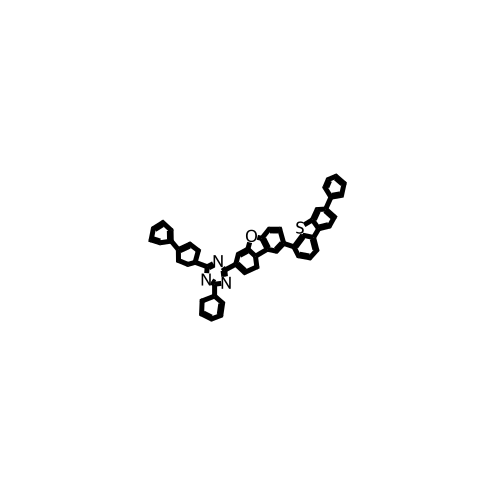 C1=CCC(c2nc(C3=CCC4C(=C3)Oc3ccc(-c5cccc6c5sc5cc(-c7ccccc7)ccc56)cc34)nc(C3CC=C(c4ccccc4)CC3)n2)C=C1